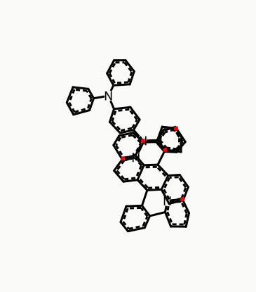 c1ccc(N(c2ccccc2)c2ccc(N(c3ccccc3)c3cccc4c(-c5ccccc5-c5ccccn5)c5ccccc5c(-c5ccccc5-c5ccccn5)c34)cc2)cc1